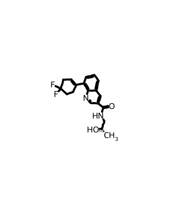 C[C@H](O)CNC(=O)c1cnc2c(C3=CCC(F)(F)CC3)cccc2c1